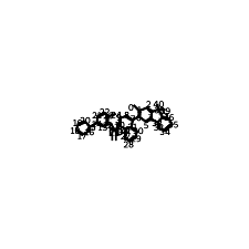 Cc1cc2c(cc1-c1ccc(N(c3cc(-c4ccccc4)ccc3C)C(C)C)c3ccccc13)-c1ccccc1C2(C)C